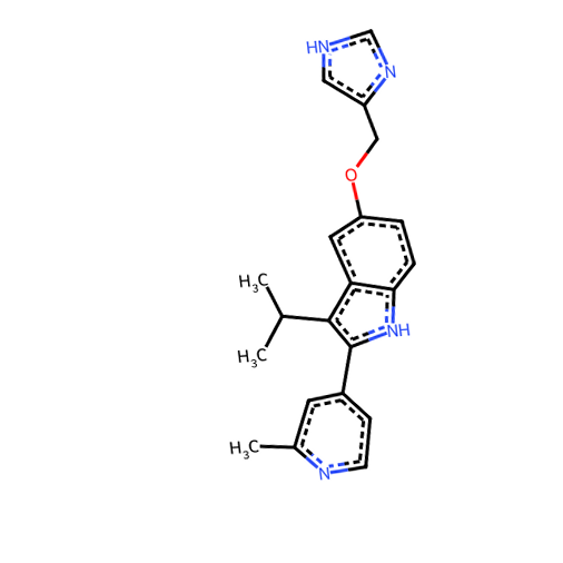 Cc1cc(-c2[nH]c3ccc(OCc4c[nH]cn4)cc3c2C(C)C)ccn1